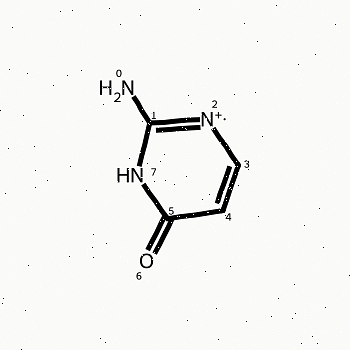 NC1=[N+]C=CC(=O)N1